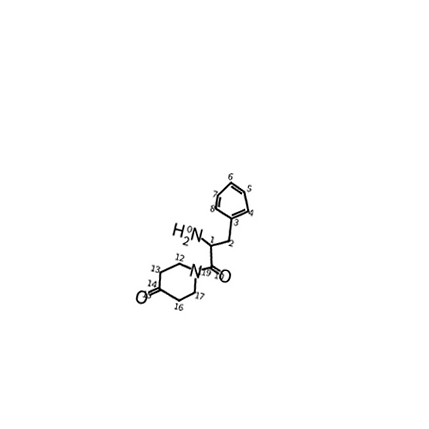 NC(Cc1ccccc1)C(=O)N1CCC(=O)CC1